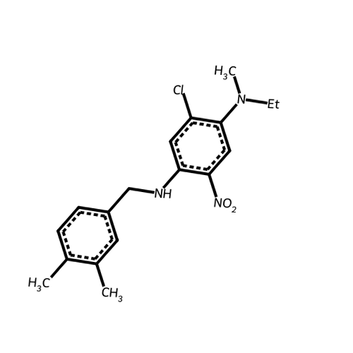 [CH2]CN(C)c1cc([N+](=O)[O-])c(NCc2ccc(C)c(C)c2)cc1Cl